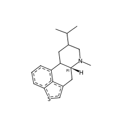 CC(C)C1CC2c3cccc4scc(c34)C[C@H]2N(C)C1